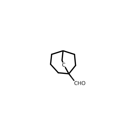 O=CC12CCCC(CC1)CC2